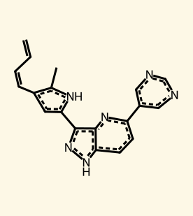 C=C/C=C\c1cc(-c2n[nH]c3ccc(-c4cncnc4)nc23)[nH]c1C